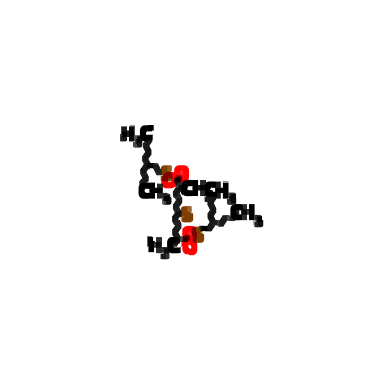 CCCCCC(CCCC)CCSOC(=O)C(C)CCCC(=S)CCCC(C)C(=O)OSCCC(CCCC)CCCCC